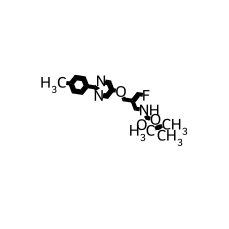 Cc1ccc(-c2ncc(OCC(=CF)CNC(=O)OC(C)(C)C)cn2)cc1